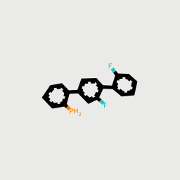 Fc1ccccc1-c1ccc(-c2ccccc2P)cc1F